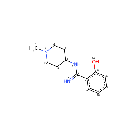 CN1CCC(NC(=N)c2ccccc2O)CC1